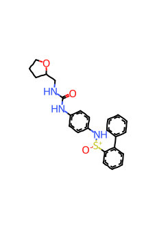 O=C(NCC1CCCO1)Nc1ccc(N[S+]([O-])c2ccccc2-c2ccccc2)cc1